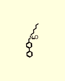 CCCCCCN(C=O)Cc1ccc(-c2ccccc2)cc1